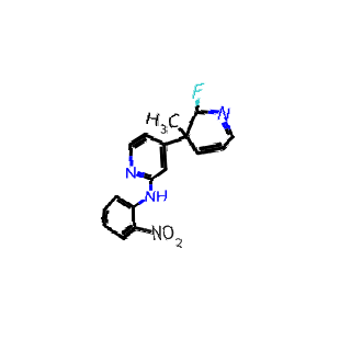 CC1(c2ccnc(Nc3ccccc3[N+](=O)[O-])c2)C=CC=NC1F